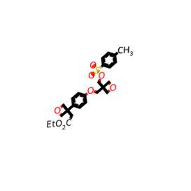 CCOC(=O)CC1(c2ccc(OCC3(COS(=O)(=O)c4ccc(C)cc4)COC3)cc2)COC1